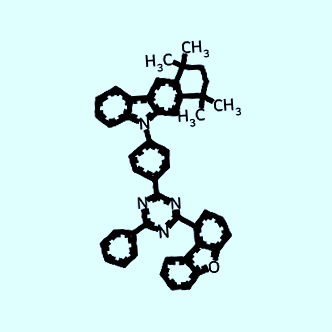 CC1(C)CCC(C)(C)c2cc3c(cc21)c1ccccc1n3-c1ccc(-c2nc(-c3ccccc3)nc(-c3cccc4oc5ccccc5c34)n2)cc1